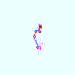 O=C(N[C@@H](c1ccccc1)c1cccc(OCC2CCC(C(=O)NCCCNC[C@H](O)c3ccc(O)c4[nH]c(=O)ccc34)CC2)c1)O[C@H]1CN2CCC1CC2